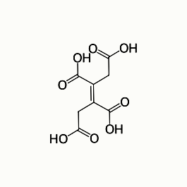 O=C(O)C/C(C(=O)O)=C(/CC(=O)O)C(=O)O